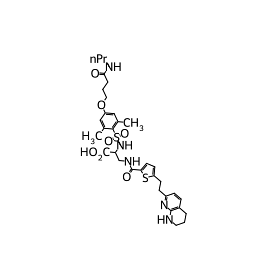 CCCNC(=O)CCCOc1cc(C)c(S(=O)(=O)NC(CNC(=O)c2ccc(CCc3ccc4c(n3)NCCC4)s2)C(=O)O)c(C)c1